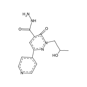 CC(O)Cn1nc(-c2ccncc2)cc(C(=O)NN)c1=O